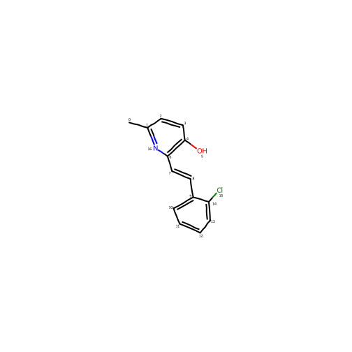 Cc1ccc(O)c(/C=C/c2ccccc2Cl)n1